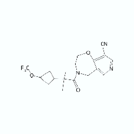 CC(C)(C(=O)N1CCOc2c(C#N)cncc2C1)C1CC(OC(F)(F)F)C1